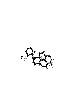 O=[N+]([O-])c1cccnc1-c1ccc2ccc3c(Br)ccc4ccc1c2c43